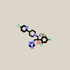 C[C@@H](N1CCC(c2ccc(F)cn2)CC1)[C@](O)(Cn1cncn1)c1ccc(F)cc1F